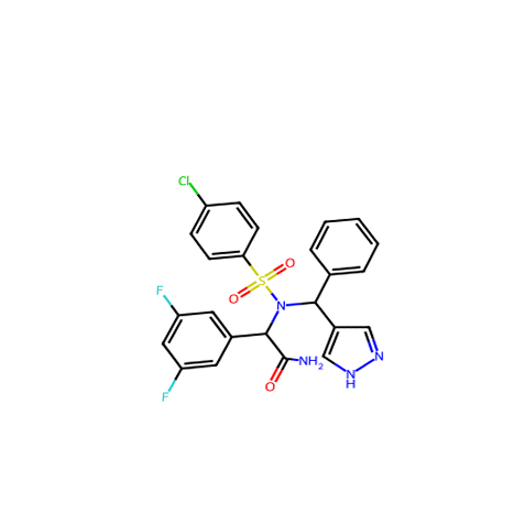 NC(=O)C(c1cc(F)cc(F)c1)N(C(c1ccccc1)c1cn[nH]c1)S(=O)(=O)c1ccc(Cl)cc1